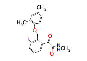 CNC(=O)C(=O)c1cccc(I)c1COc1ccc(C)cc1C